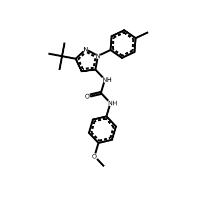 COc1ccc(NC(=O)Nc2cc(C(C)(C)C)nn2-c2ccc(C)cc2)cc1